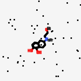 CCCN(CCOCC)[C@H]1CCc2c(ccc(O)c2O)C1